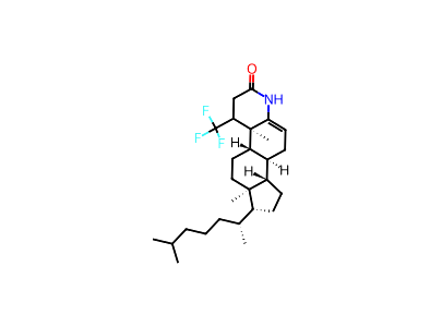 CC(C)CCC[C@@H](C)[C@H]1CC[C@H]2[C@@H]3CC=C4NC(=O)CC(C(F)(F)F)[C@]4(C)[C@H]3CC[C@]12C